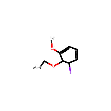 CNCOC1C(OC(C)C)=CC=CC1I